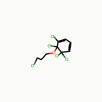 ClCCCOC1(Cl)C(Cl)=CC=CC1(Cl)Cl